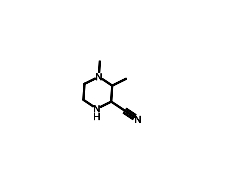 CC1C(C#N)NCCN1C